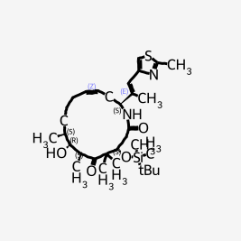 C/C(=C\c1csc(C)n1)[C@@H]1C/C=C\CCC[C@H](C)[C@@H](O)[C@H](C)C(=O)C(C)(C)[C@@H](O[Si](C)(C)C(C)(C)C)CC(=O)N1